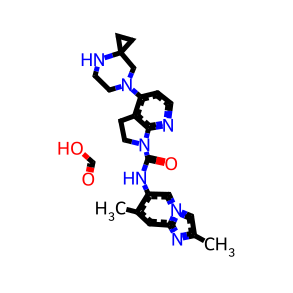 Cc1cn2cc(NC(=O)N3CCc4c(N5CCNC6(CC6)C5)ccnc43)c(C)cc2n1.O=CO